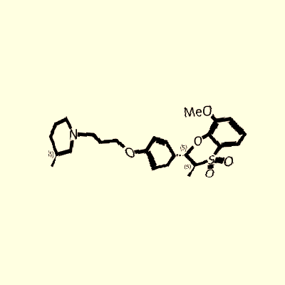 COc1cccc2c1O[C@@H](C1C=CC(OCCCN3CCC[C@H](C)C3)=CC1)[C@H](C)S2(=O)=O